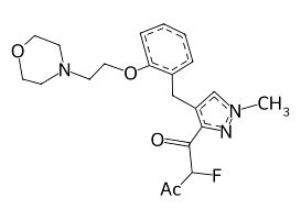 CC(=O)C(F)C(=O)c1nn(C)cc1Cc1ccccc1OCCN1CCOCC1